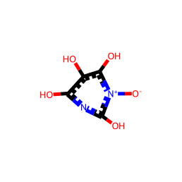 [O-][n+]1c(O)nc(O)c(O)c1O